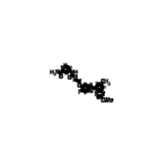 COc1cnc2c(-c3nc4cc(F)c(OCCOC(=O)Nc5ccnc(C(N)=O)c5)cc4s3)cc(C)cc2n1